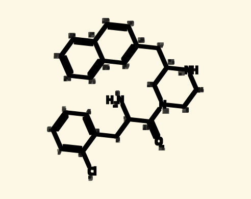 NC(Cc1ccccc1Cl)C(=O)N1CCNC(Cc2ccc3ccccc3c2)C1